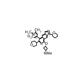 C=N/C(C)=C\C(=C/C)c1c(C2CCOCC2)nc(O[C@H]2C[C@H](NC)C2)c2cc3c(cnn3C3CCCCO3)cc12